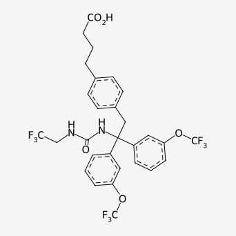 O=C(O)CCCc1ccc(CC(NC(=O)NCC(F)(F)F)(c2cccc(OC(F)(F)F)c2)c2cccc(OC(F)(F)F)c2)cc1